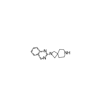 c1ccc2nc(N3CC4(CCNCC4)C3)ncc2c1